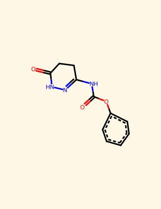 O=C1CCC(NC(=O)Oc2ccccc2)=NN1